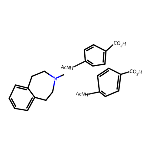 CC(=O)Nc1ccc(C(=O)O)cc1.CC(=O)Nc1ccc(C(=O)O)cc1.CN1CCc2ccccc2CC1